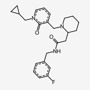 O=C(CC1CCCCN1Cc1cccn(CC2CC2)c1=O)NCc1cccc(F)c1